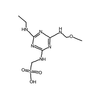 CCNc1nc(NCOC)nc(NCS(=O)(=O)O)n1